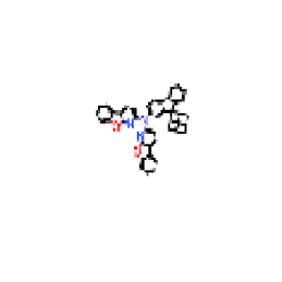 c1ccc2c(c1)-c1ccc(N(c3ccc4c(n3)oc3ccccc34)c3ccc4c(n3)oc3ccccc34)cc1C21C2CC3CC4CC1C342